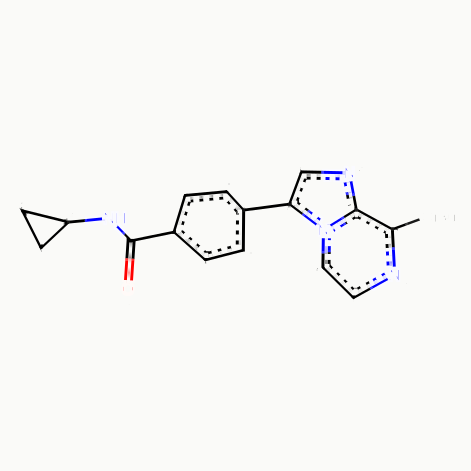 CC(C)COc1nccn2c(-c3ccc(C(=O)NC4CC4)cc3)cnc12